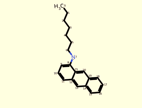 CCCCCCC[N]c1cccc2cc3ccccc3cc12